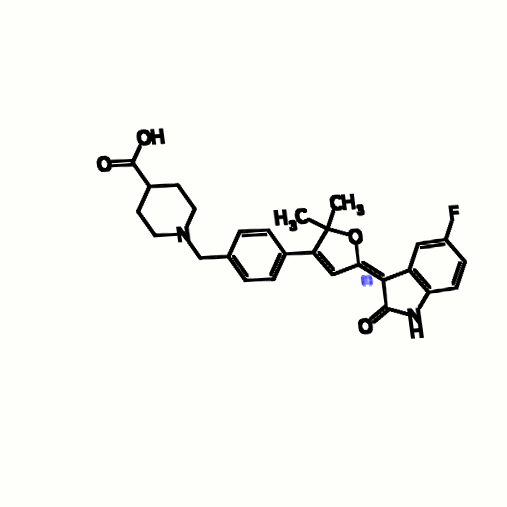 CC1(C)O/C(=C2/C(=O)Nc3ccc(F)cc32)C=C1c1ccc(CN2CCC(C(=O)O)CC2)cc1